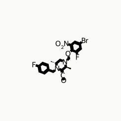 C[C@@H]1CN(COc2c(F)cc(Br)cc2[N+](=O)[O-])[C@@H](C)C(=C=O)N1Cc1ccc(F)cc1